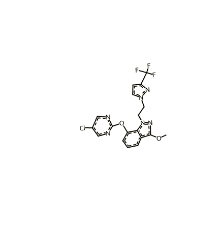 COc1nn(CCn2ccc(C(F)(F)F)n2)c2c(Oc3ncc(Cl)cn3)cccc12